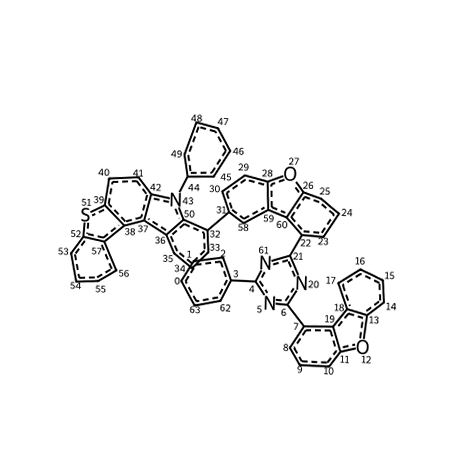 c1ccc(-c2nc(-c3cccc4oc5ccccc5c34)nc(-c3cccc4oc5ccc(-c6cccc7c8c9c(ccc8n(-c8ccccc8)c67)sc6ccccc69)cc5c34)n2)cc1